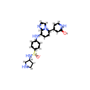 O=c1cc(-c2ccc(Nc3ccc([S+]([O-])NC4CCNC4)cc3)c3nccn23)cc[nH]1